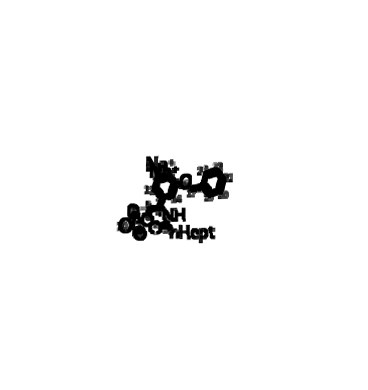 CCCCCCCC(=O)NC(COP(=O)([O-])[O-])c1cccc(OCc2ccccc2)c1.[Na+].[Na+]